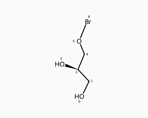 OC[C@@H](O)COBr